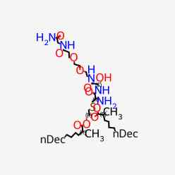 CCCCCCCCCCCCCC[C@@H](C)C(=O)OC[C@H](CSC[C@H](N)C(=O)N[C@@H](CO)C(=O)NCCOCCOCCC(=O)NCC(N)=O)OC(=O)[C@H](C)CCCCCCCCCCCCCC